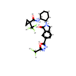 O=C1c2cc(-c3nnc(C(F)F)o3)ccc2CN1[C@@H]1CCCC[C@@H]1NC(=O)C1(C(F)(F)F)CC1